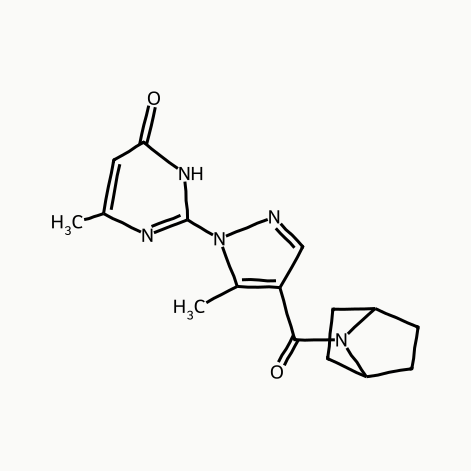 Cc1cc(=O)[nH]c(-n2ncc(C(=O)N3C4CCC3CC4)c2C)n1